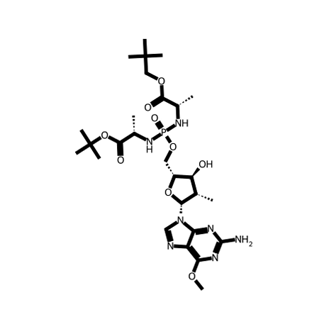 COc1nc(N)nc2c1ncn2[C@@H]1O[C@H](COP(=O)(N[C@@H](C)C(=O)OCC(C)(C)C)N[C@@H](C)C(=O)OC(C)(C)C)[C@@H](O)[C@@H]1C